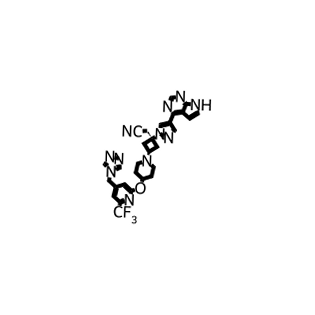 N#CC[C@]1(n2cc(-c3ncnc4[nH]ccc34)cn2)C[C@@H](N2CCC(Oc3cc(Cn4cnnc4)cc(C(F)(F)F)n3)CC2)C1